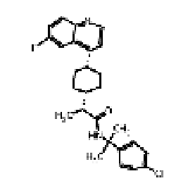 CC(C(=O)NC(C)(C)c1ccc(Cl)cc1)[C@H]1CC[C@@H](c2ccnc3ccc(F)cc32)CC1